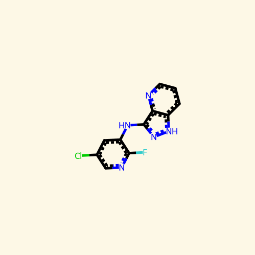 Fc1ncc(Cl)cc1Nc1n[nH]c2cccnc12